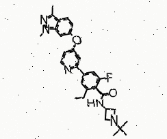 CCc1cc(-c2cc(Oc3ccc4c(C)nn(C)c4c3)ccn2)cc(F)c1C(=O)NC1CN(C(C)(C)C)C1